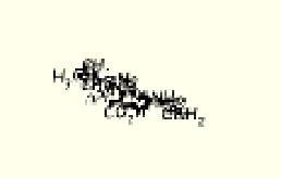 CCC[C@H](C(=O)O)[C@H](Cc1ccc(NCCS(N)(=O)=O)cn1)c1nnnn1COCC[Si](C)(C)C